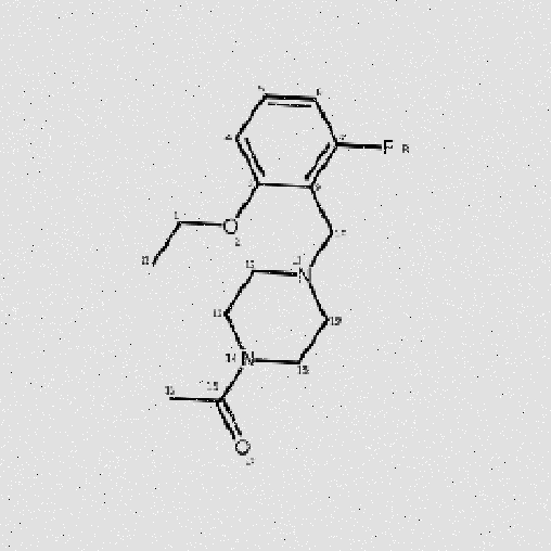 CCOc1cccc(F)c1CN1CCN(C(C)=O)CC1